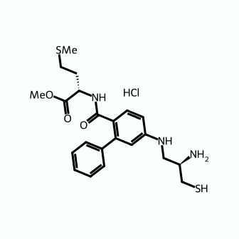 COC(=O)[C@H](CCSC)NC(=O)c1ccc(NC[C@@H](N)CS)cc1-c1ccccc1.Cl